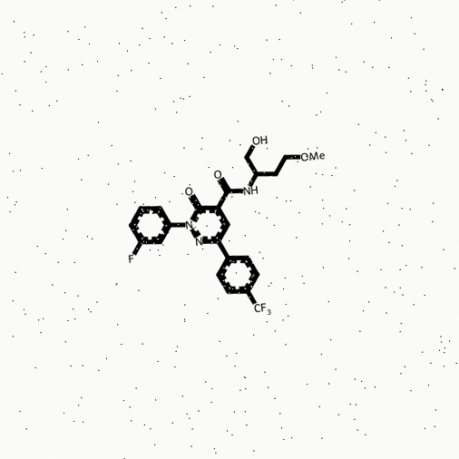 COCCC(CO)NC(=O)c1cc(-c2ccc(C(F)(F)F)cc2)nn(-c2cccc(F)c2)c1=O